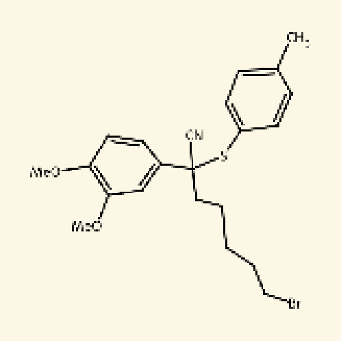 COc1ccc(C(C#N)(CCCCCBr)Sc2ccc(C)cc2)cc1OC